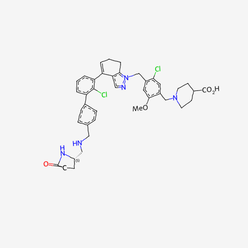 COc1cc(Cn2ncc3c2CCC=C3c2cccc(-c3ccc(CNC[C@@H]4CCC(=O)N4)cc3)c2Cl)c(Cl)cc1CN1CCC(C(=O)O)CC1